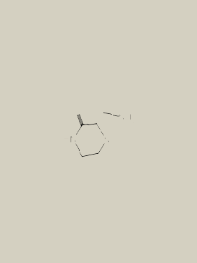 NC[C@@H]1NCCNC1=O